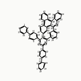 c1ccc(-c2ccc(-c3nc(-c4ccc(-c5ccccc5)cc4)nc(-c4cccc(-c5nc6ccccc6c6c7ccccc7c7ccccc7c56)c4)n3)cc2)cc1